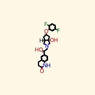 O=C1CCc2cc([C@@H](O)CN3C[C@H]4C[C@H](Oc5cc(F)ccc5F)C[C@@]4(O)C3)ccc2N1